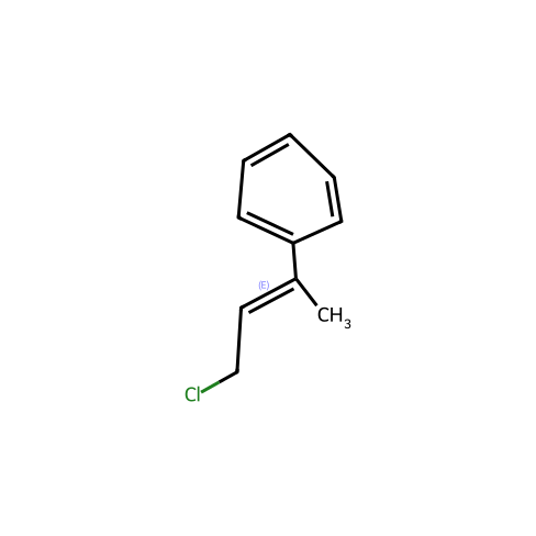 C/C(=C\CCl)c1ccccc1